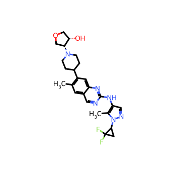 Cc1cc2cnc(Nc3cnn(C4CC4(F)F)c3C)nc2cc1C1CCN([C@@H]2COC[C@@H]2O)CC1